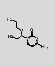 Nc1ccn([C@@H](CS)OCCO)c(=O)n1